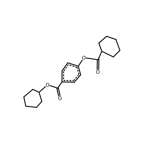 O=C(OC1CCCCC1)c1ccc(OC(=O)C2CCCCC2)cc1